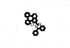 C1=C2c3ccccc3-c3cccc4oc5c(-c6nc(-c7ccccc7)c7ccccc7n6)cc(c2c5c34)CC1